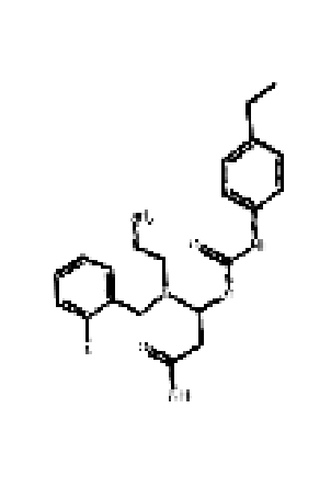 CCc1ccc(NC(=O)OC(CC([NH])=O)N(CCN)Cc2ccccc2Cl)cc1